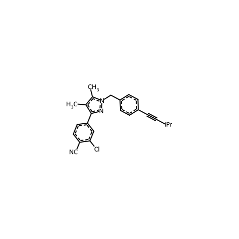 Cc1c(-c2ccc(C#N)c(Cl)c2)nn(Cc2ccc(C#CC(C)C)cc2)c1C